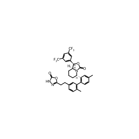 Cc1ccc(-c2cc(CCc3n[nH]c(=O)o3)ccc2C)c([C@@H]2CCC[C@H]3[C@@H](c4cc(C(F)(F)F)cc(C(F)(F)F)c4)OC(=O)N23)c1